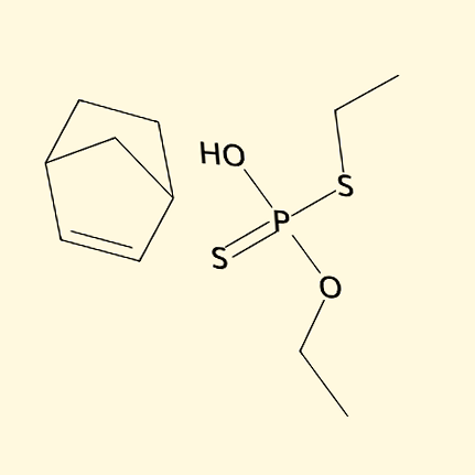 C1=CC2CCC1C2.CCOP(O)(=S)SCC